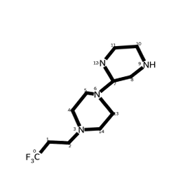 FC(F)(F)CCN1CCN(C2CNCC[N]2)CC1